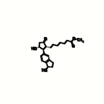 COC(=O)CCCCCC[C@H]1C(=O)C[C@@H](O)[C@@H]1c1ccc2c(c1)CCC2O